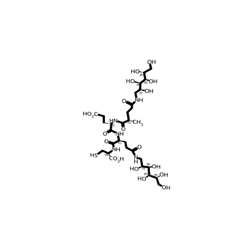 C[C@@H](CCC(=O)NC[C@H](O)[C@@H](O)[C@H](O)[C@H](O)CO)C(=O)N[C@@H](CCC(=O)O)C(=O)N[C@@H](CCC(=O)NC[C@H](O)[C@@H](O)[C@H](O)[C@H](O)CO)C(=O)N[C@@H](CS)C(=O)O